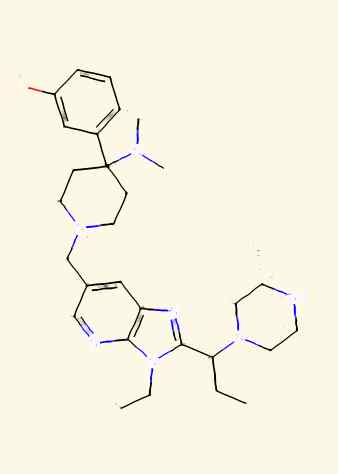 CCC(c1nc2cc(CN3CCC(c4cccc(O)c4)(N(C)C)CC3)cnc2n1CC)N1C[C@@H](C)N[C@@H](C)C1